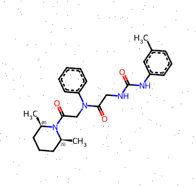 Cc1cccc(NC(=O)NCC(=O)N(CC(=O)N2[C@H](C)CCC[C@@H]2C)c2ccccc2)c1